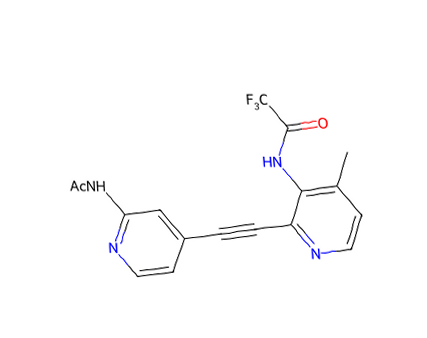 CC(=O)Nc1cc(C#Cc2nccc(C)c2NC(=O)C(F)(F)F)ccn1